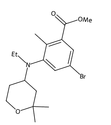 CCN(c1cc(Br)cc(C(=O)OC)c1C)C1CCOC(C)(C)C1